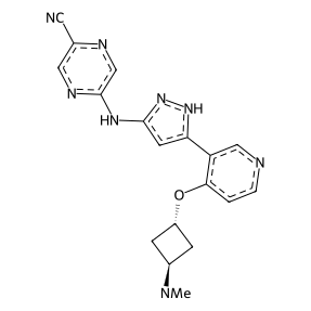 CN[C@H]1C[C@H](Oc2ccncc2-c2cc(Nc3cnc(C#N)cn3)n[nH]2)C1